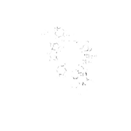 CCn1c(-c2cccnc2[C@H](C)OC)c2c3cc(ccc31)-c1cccc(c1)C[C@H](NC(=O)[C@H](C(C)C)N(C)C(C)=O)C(=O)N1CCC[C@H](N1)C(=O)OCC(C)(C)C2